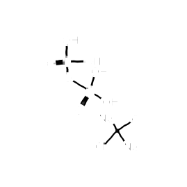 O=P(O)(O)OP(=O)(O)O.[Na][C]([Na])(Cl)Cl